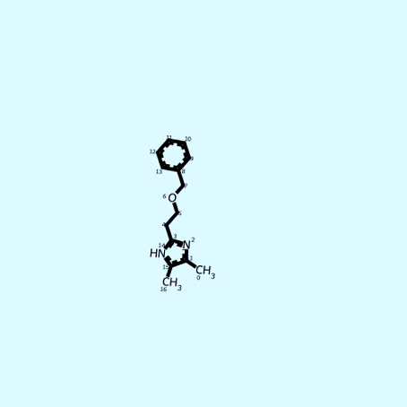 Cc1nc(CCOCc2ccccc2)[nH]c1C